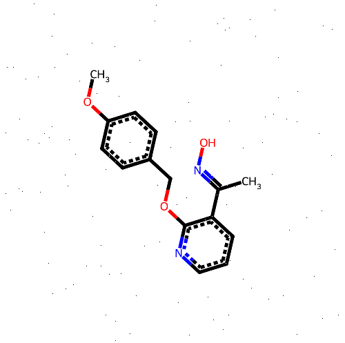 COc1ccc(COc2ncccc2C(C)=NO)cc1